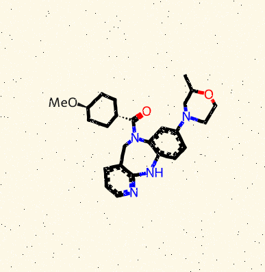 CO[C@H]1CC[C@H](C(=O)N2Cc3cccnc3Nc3ccc(N4CCOC(C)C4)cc32)CC1